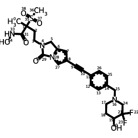 CC(CCN1Cc2cc(C#Cc3ccc(CN4CCC(O)C(F)(F)C4)cc3)cn2C1=O)(C(=O)NO)S(C)(=O)=O